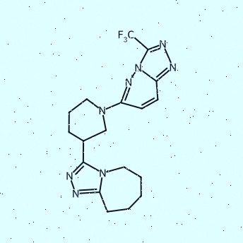 FC(F)(F)c1nnc2ccc(N3CCCC(c4nnc5n4CCCCC5)C3)nn12